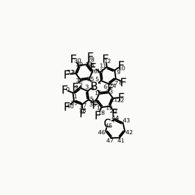 Fc1cc([B-](c2cc(F)c(F)c(F)c2F)(c2cc(F)c(F)c(F)c2F)c2cc(F)c(F)c(F)c2F)c(F)c(F)c1F.c1ccc[cH+]cc1